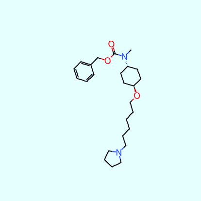 CN(C(=O)OCc1ccccc1)[C@H]1CC[C@H](OCCCCCCN2CCCC2)CC1